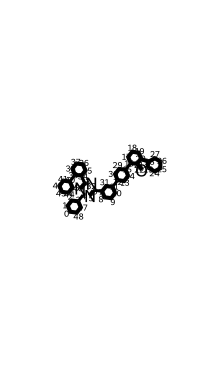 c1ccc(-c2nc(-c3cccc(-c4ccc(-c5cccc6c5oc5ccccc56)cc4)c3)nc(-c3ccccc3-c3ccccc3)n2)cc1